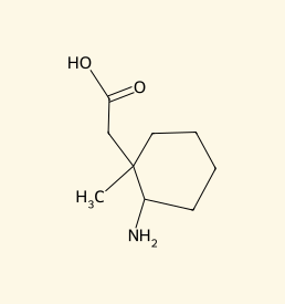 CC1(CC(=O)O)CCCCC1N